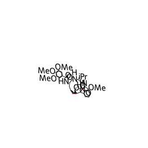 COC(=O)c1nc2oc1C13c4ccccc4N[C@H]1Oc1ccc(cc13)C[C@H](NC(=O)c1cc(OC)c(OC)c(OC)c1)C(=O)N[C@H]2C(C)C